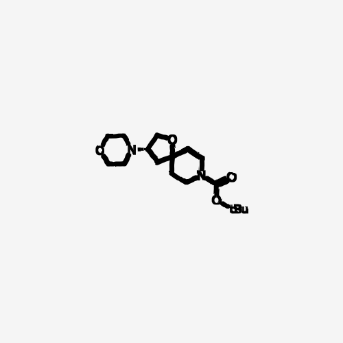 CC(C)(C)OC(=O)N1CCC2(CC1)C[C@H](N1CCOCC1)CO2